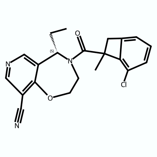 CC[C@H]1c2cncc(C#N)c2OCCN1C(=O)C1(C)Cc2cccc(Cl)c21